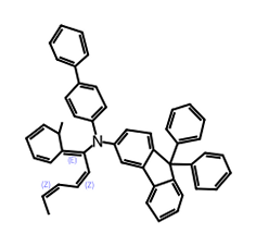 C\C=C/C=C\C(=C1/C=CC=CC1C)N(c1ccc(-c2ccccc2)cc1)c1ccc2c(c1)-c1ccccc1C2(c1ccccc1)c1ccccc1